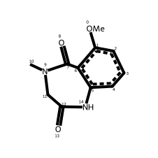 COc1cccc2c1C(=O)N(C)CC(=O)N2